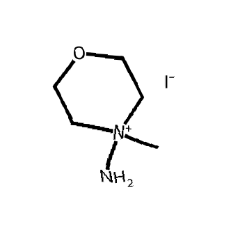 C[N+]1(N)CCOCC1.[I-]